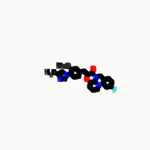 COc1cc(/C=C2\Oc3cccnc3N(Cc3ccc(F)cc3)C2=O)ccc1-n1cnc(C)c1